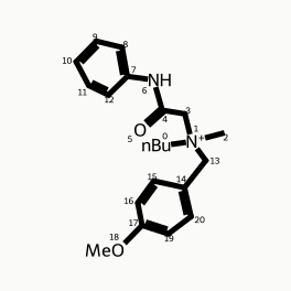 CCCC[N+](C)(CC(=O)Nc1ccccc1)Cc1ccc(OC)cc1